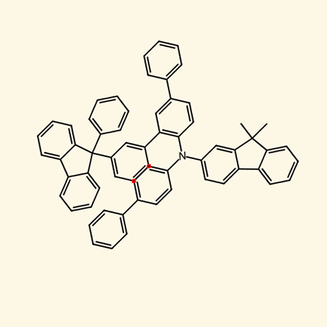 CC1(C)c2ccccc2-c2ccc(N(c3ccc(-c4ccccc4)cc3)c3ccc(-c4ccccc4)cc3-c3cccc(C4(c5ccccc5)c5ccccc5-c5ccccc54)c3)cc21